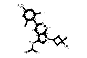 Cc1cc(C(F)(F)F)cc(O)c1-c1cc2c(OC(F)F)cn(C3CC(C)(O)C3)c2nn1